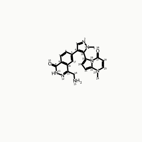 Cn1ncc(-c2ccc3c(=O)[nH]nc(CN)c3c2)c1-c1ccc2n(C)ccc(=O)n12